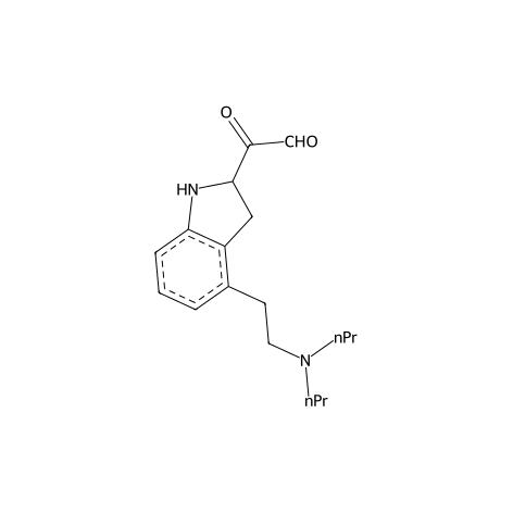 CCCN(CCC)CCc1cccc2c1CC(C(=O)C=O)N2